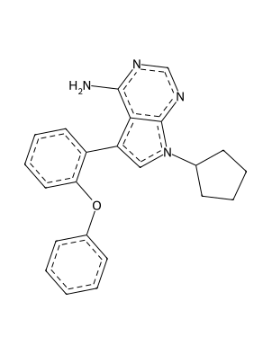 Nc1ncnc2c1c(-c1ccccc1Oc1ccccc1)cn2C1CCCC1